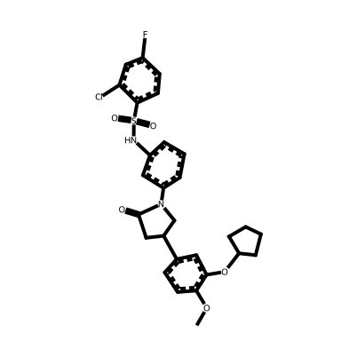 COc1ccc(C2CC(=O)N(c3cccc(NS(=O)(=O)c4ccc(F)cc4Cl)c3)C2)cc1OC1CCCC1